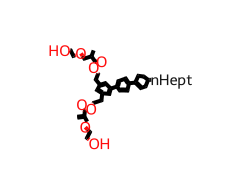 C=C(COCCO)C(=O)OCCc1cc(CCOC(=O)C(C)COCCO)cc(-c2ccc(C3=CCC(CCCCCCC)CC3)cc2)c1